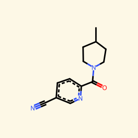 CC1CCN(C(=O)c2ccc(C#N)cn2)CC1